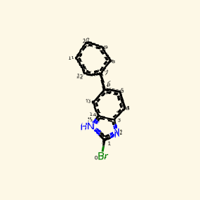 Brc1nc2ccc(-c3ccccc3)cc2[nH]1